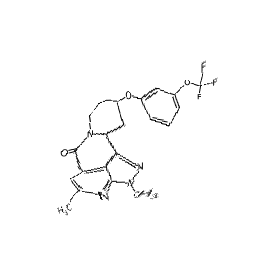 Cc1cc2c3c(nn(C)c3n1)C1CC(Oc3cccc(OC(F)(F)F)c3)CCN1C2=O